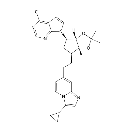 CC1(C)O[C@@H]2[C@@H](CCc3ccn4c(C5CC5)cnc4c3)C[C@@H](n3ccc4c(Cl)ncnc43)[C@@H]2O1